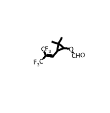 CC1(C)C(C=C(C(F)(F)F)C(F)(F)F)C1OC=O